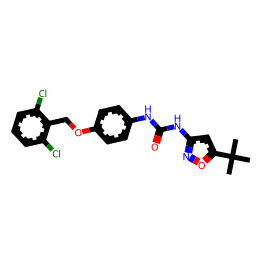 CC(C)(C)c1cc(NC(=O)Nc2ccc(OCc3c(Cl)cccc3Cl)cc2)no1